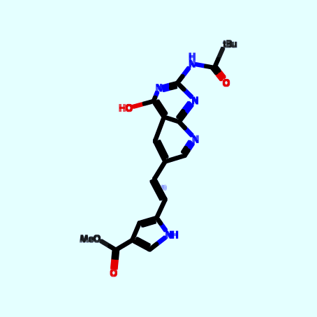 COC(=O)c1c[nH]c(/C=C/c2cnc3nc(NC(=O)C(C)(C)C)nc(O)c3c2)c1